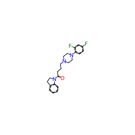 O=C(CCCN1CCN(c2ccc(F)cc2F)CC1)N1CCc2ccccc21